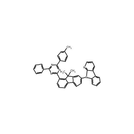 Cc1ccc(-c2nc(-c3ccccc3)nc(-c3cccc4c3C(C)(C)c3cc(-n5c6ccccc6c6cccnc65)ccc3-4)n2)cc1